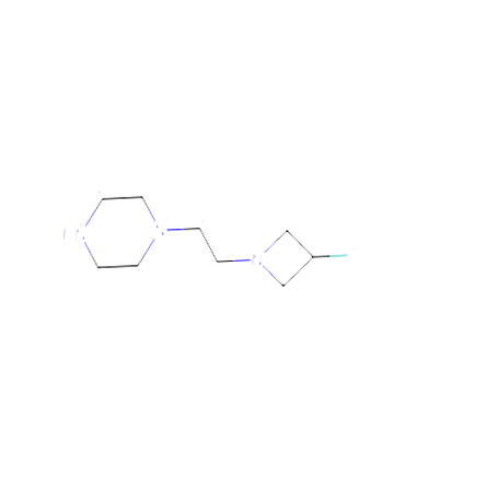 FC1CN(CCN2CCNCC2)C1